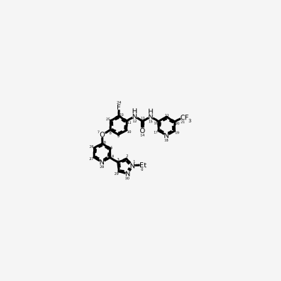 CCn1cc(-c2cc(Oc3ccc(NC(=O)Nc4cncc(C(F)(F)F)c4)c(F)c3)ccn2)cn1